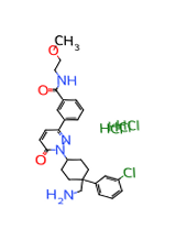 COCCNC(=O)c1cccc(-c2ccc(=O)n(C3CCC(CN)(c4cccc(Cl)c4)CC3)n2)c1.Cl.Cl.Cl